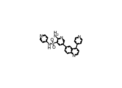 Nc1ncc(-c2ccc3nccc(-c4ccncc4)c3c2)cc1S(=O)(=O)Nc1ccncc1